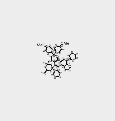 C/C=C1\CC(C)(C)CC2(C1)c1ccccc1-c1c2c2c(c3cc(N4CCCCC4)c4c(c13)CCO4)OC(c1ccc(OC)cc1)(c1ccc(OC)cc1)C=C2